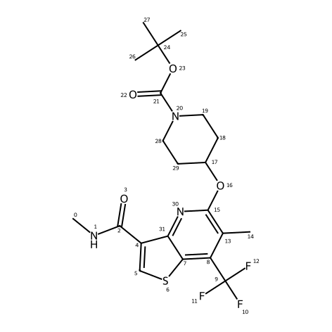 CNC(=O)c1csc2c(C(F)(F)F)c(C)c(OC3CCN(C(=O)OC(C)(C)C)CC3)nc12